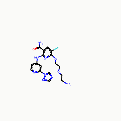 NCCNCCNc1nc(Nc2ccnc(-n3cncn3)c2)c(C(N)=O)cc1F